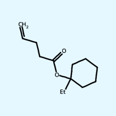 C=CCCC(=O)OC1(CC)CCCCC1